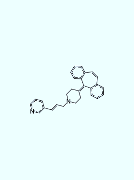 C(=Cc1cccnc1)CN1CCC(=C2c3ccccc3C=Cc3ccccc32)CC1